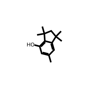 Cc1cc(O)c2c(c1)C(C)(C)CC2(C)C